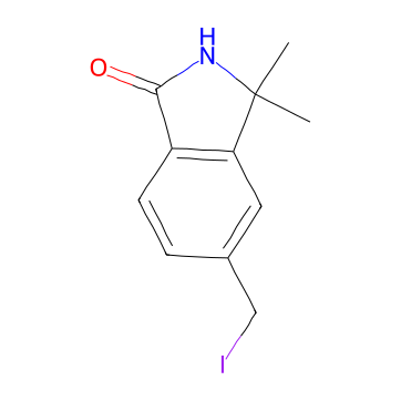 CC1(C)NC(=O)c2ccc(CI)cc21